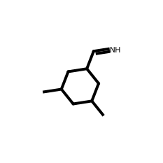 CC1CC(C)CC(C=N)C1